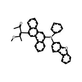 CO/C(C)=C(\C(C)=O)c1cc2c3ccccc3c(N(c3ccccc3)c3ccc4c(c3)oc3ccccc34)cc2c2ccccc12